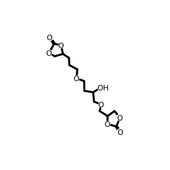 O=C1OCC(CCCOCCC(O)COCC2COC(=O)O2)O1